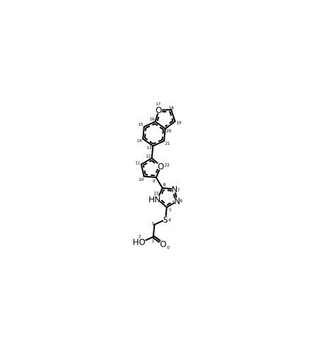 O=C(O)CSc1nnc(-c2ccc(-c3ccc4occc4c3)o2)[nH]1